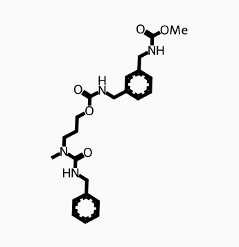 COC(=O)NCc1cccc(CNC(=O)OCCCN(C)C(=O)NCc2ccccc2)c1